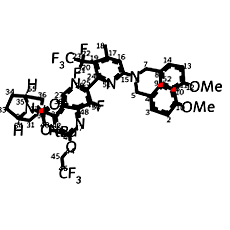 COc1ccc(CN(Cc2ccc(OC)cc2)c2cc(C)c(C(F)(F)C(F)(F)F)c(-c3ncc4c(N5C[C@H]6CC[C@@H](C5)N6C(=O)OC(C)(C)C)nc(OCC(F)(F)F)nc4c3F)n2)cc1